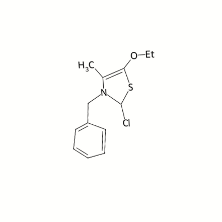 CCOC1=C(C)N(Cc2ccccc2)C(Cl)S1